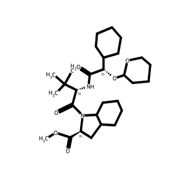 COC(=O)[C@@H]1CC2CCCCC2N1C(=O)[C@@H](NC(=O)[C@@H](OC1CCCCO1)C1CCCCC1)C(C)(C)C